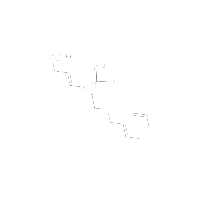 CC1(C)C(/C=C/CC(=O)O)C1C(=O)OCc1ccccc1